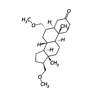 COC[C@H]1C[C@@H]2[C@H](CC[C@]3(C)[C@@H](COC)CC[C@@H]23)[C@@]2(C)CCC(=O)C[C@H]12